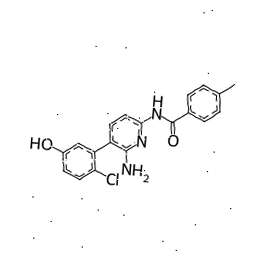 Cc1ccc(C(=O)Nc2ccc(-c3cc(O)ccc3Cl)c(N)n2)cc1